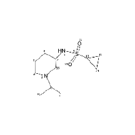 CC(C)N1CCCC(NS(=O)(=O)C2CC2)C1